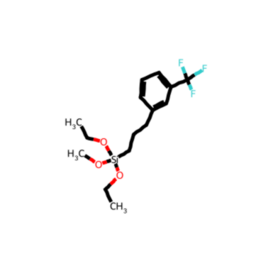 CCO[Si](CCCc1cccc(C(F)(F)F)c1)(OC)OCC